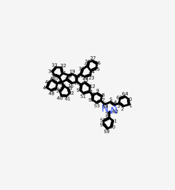 c1ccc(-c2cc(-c3ccc(-c4ccc(-c5cc6c(cc5-c5ccc7ccccc7c5)-c5ccccc5C6(c5ccccc5)c5ccccc5)cc4)cc3)nc(-c3ccccc3)n2)cc1